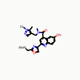 CCn1ncc(CN(C)C(=O)c2cc(-c3coc(CNC)n3)nc3ccc(O)cc23)c1C